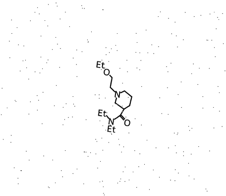 CCOCCN1CCCC(C(=O)N(CC)CC)C1